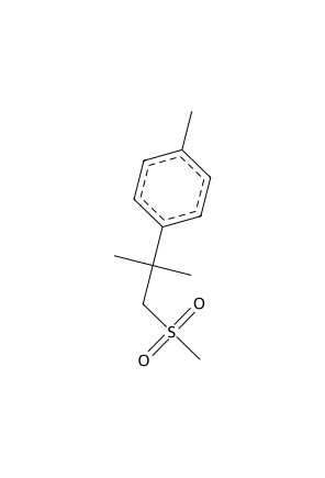 Cc1ccc(C(C)(C)CS(C)(=O)=O)cc1